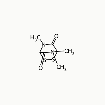 CN1C(=O)C2(C)SSC1C(=O)N2C